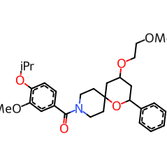 COCCOC1CC(c2ccccc2)OC2(CCN(C(=O)c3ccc(OC(C)C)c(OC)c3)CC2)C1